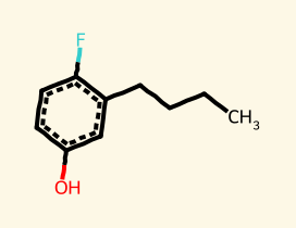 CCCCc1cc(O)ccc1F